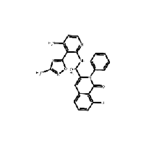 Cc1noc(-c2c(N)ccnc2N[C@@H](C)c2cc3cccc(Cl)c3c(=O)n2-c2ccccc2)n1